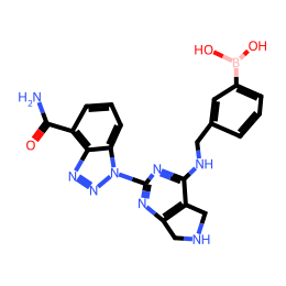 NC(=O)c1cccc2c1nnn2-c1nc2c(c(NCc3cccc(B(O)O)c3)n1)CNC2